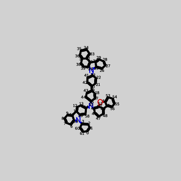 c1ccc(-n2c3ccccc3c3ccc(N(c4ccc(-c5ccc(-n6c7ccccc7c7c8ccccc8ccc76)cc5)cc4)c4cccc5c4oc4ccccc45)cc32)cc1